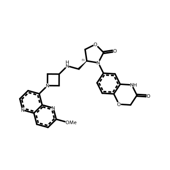 COc1ccc2nccc(N3CC(NC[C@H]4COC(=O)N4c4ccc5c(c4)NC(=O)CO5)C3)c2n1